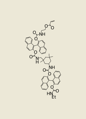 [CH2]CNC(=O)Oc1ccc2ccccc2c1-c1c(OC(=O)NC2CC(C)(C)CC(C)(CNC(=O)Oc3ccc4ccccc4c3-c3c(OC(=O)NCCOC(=O)C=C)ccc4ccccc34)C2)ccc2ccccc12